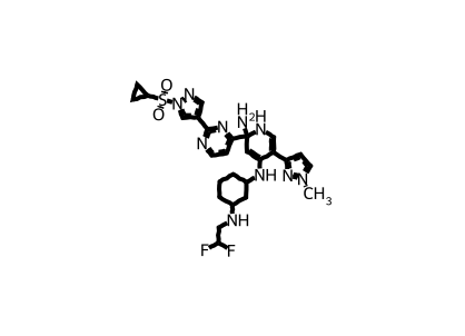 Cn1ccc(C2=CNC(N)(c3ccnc(-c4cnn(S(=O)(=O)C5CC5)c4)n3)C=C2NC2CCCC(NCC(F)F)C2)n1